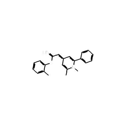 CC1=C/C(=C\C(=N)Sc2ccccc2C)C=C(c2ccccc2)N1C